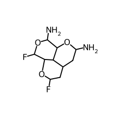 NC1CC2CC(F)OC3C(F)OC(N)C(O1)C23